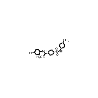 Cc1ccc(NS(=O)(=O)c2ccc(C(=O)Nc3ccc(Cl)cc3C)cc2)cc1